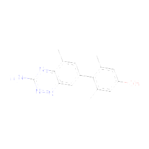 Cc1cc(O)cc(C)c1-c1cc(C)c2nc(N)nnc2c1